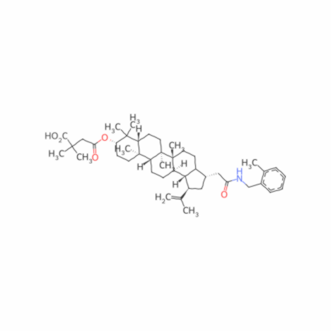 C=C(C)[C@@H]1C[C@@H](CC(=O)NCc2ccccc2C)C2CC[C@]3(C)[C@H](CC[C@@H]4[C@@]5(C)CC[C@H](OC(=O)CC(C)(C)C(=O)O)C(C)(C)[C@@H]5CC[C@]43C)[C@H]21